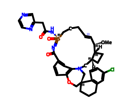 CO[C@H]1/C=C/CCC[S@@](=O)(NC(=O)Cc2cnccn2)=NC(=O)c2ccc3c(c2)N(C[C@@H]2CC[C@H]21)C[C@@]1(CCCc2cc(Cl)ccc21)CO3